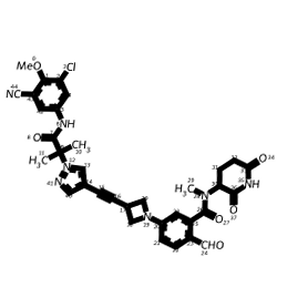 COc1c(Cl)cc(NC(=O)C(C)(C)n2cc(C#CC3CN(c4ccc(C=O)c(C(=O)N(C)C5CCC(=O)NC5=O)c4)C3)cn2)cc1C#N